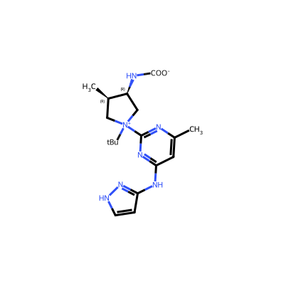 Cc1cc(Nc2cc[nH]n2)nc([N+]2(C(C)(C)C)C[C@@H](C)[C@@H](NC(=O)[O-])C2)n1